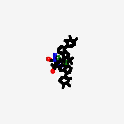 Cc1ccc(-c2cccc3c2C=C(C(C)(C)C)[CH]3[Hf]([Cl])([Cl])([B](NC=O)NC=O)[CH]2C(C(C)(C)C)=Cc3c(-c4ccc(C)c(C)c4C)cccc32)c(C)c1C